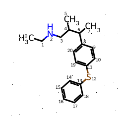 CCNCC(C)C(C)c1ccc(Sc2ccccc2)cc1